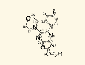 O=C(O)c1nc2nc(-c3ccc(F)cc3)c(N3CCOCC3)nc2o1